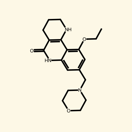 CCOc1cc(CN2CCOCC2)cc2[nH]c(=O)c3c(c12)NCCC3